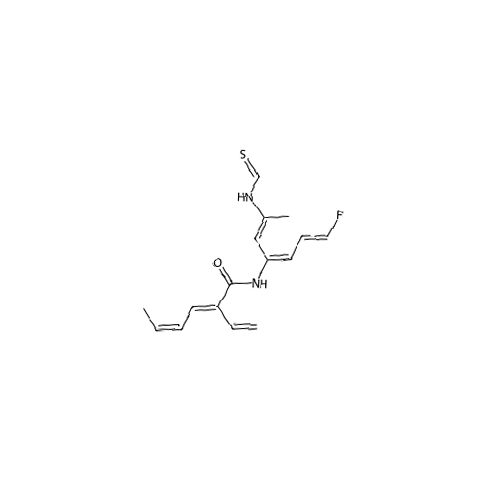 C=C/C(=C\C=C/C)C(=O)NC(/C=C(\C)NC=S)=C/C=C/F